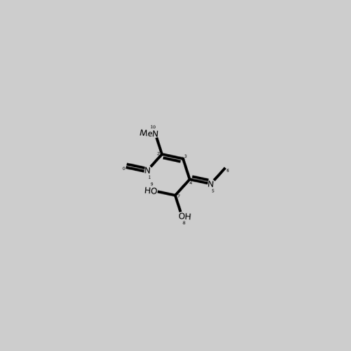 C=N/C(=C\C(=N/C)C(O)O)NC